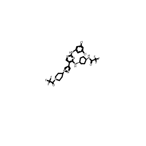 O=C(N[C@H]1CC[C@@H](Nc2nc(Nc3cc(Cl)cc(Cl)c3)ncc2-c2cnn(C3CCN(C(=O)C(F)(F)F)CC3)c2)CC1)C(F)(F)F